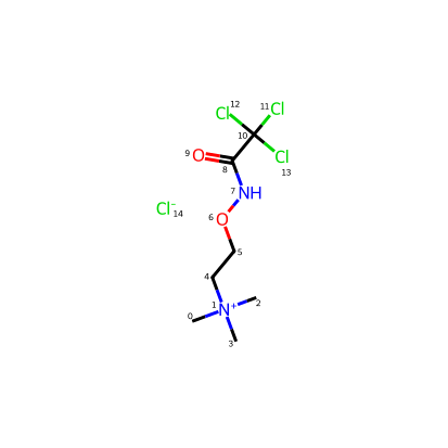 C[N+](C)(C)CCONC(=O)C(Cl)(Cl)Cl.[Cl-]